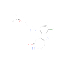 C[C@H]1C(=O)NCCc2[nH]c3c(Cl)c(Cl)cc(NCCCO[Si](C)(C)C(C)(C)C)c3c21